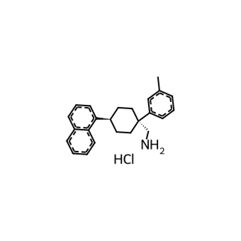 Cc1cccc([C@]2(CN)CC[C@H](c3cccc4ccccc43)CC2)c1.Cl